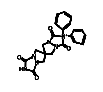 O=C1N2CC3(CN2C(=O)[N+]1(c1ccccc1)c1ccccc1)Cn1c(=O)[nH]c(=O)n1C3